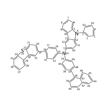 c1ccc(-n2c3ccccc3c3cc(N(c4ccc(-c5ccc6sc7ccccc7c6c5)cc4)c4ccc(-c5cccc6ccccc56)cc4)ccc32)cc1